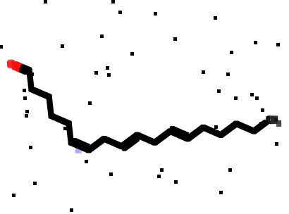 CCCCCC=CCC=CC/C=C\CCCCC=O